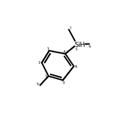 Cc1ccc([SiH](C)C)cc1